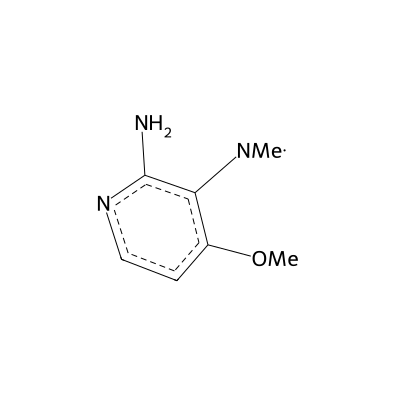 C[N]c1c(OC)ccnc1N